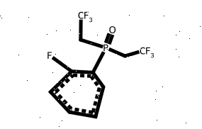 O=P(CC(F)(F)F)(CC(F)(F)F)c1ccccc1F